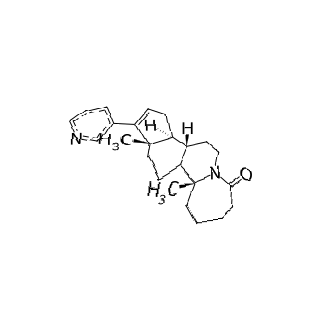 C[C@]12CCC3[C@@H](CCN4C(=O)CCCC[C@]34C)[C@@H]1CC=C2c1cccnc1